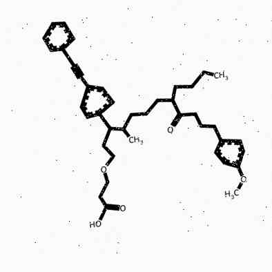 CCCCC(CCCC(C)C(CCOCCC(=O)O)c1ccc(C#Cc2ccccc2)cc1)C(=O)CCCc1ccc(OC)cc1